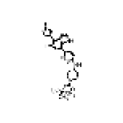 CC(C)(C)OC(=O)N1CCC(Nc2ccc(-c3cc(F)c(-c4cn[nH]c4)c4cn[nH]c34)nn2)CC1